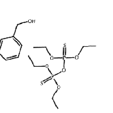 CCOP(=S)(OCC)OP(=S)(OCC)OCC.OCc1ccccc1